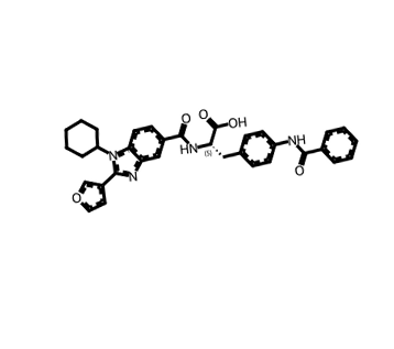 O=C(Nc1ccc(C[C@H](NC(=O)c2ccc3c(c2)nc(-c2ccoc2)n3C2CCCCC2)C(=O)O)cc1)c1ccccc1